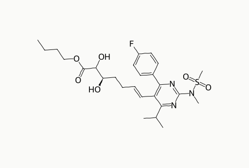 CCCCOC(=O)C(O)[C@H](O)CCC=Cc1c(-c2ccc(F)cc2)nc(N(C)S(C)(=O)=O)nc1C(C)C